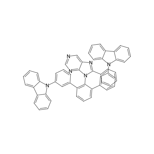 c1ccc(-c2nc3cncnc3n2-c2c(-c3cccc(-n4c5ccccc5c5ccccc54)c3)cccc2-c2cccc(-n3c4ccccc4c4ccccc43)c2)cc1